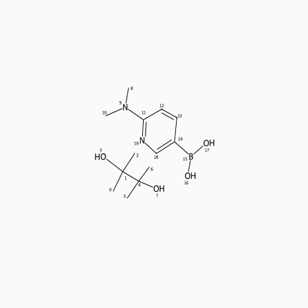 CC(C)(O)C(C)(C)O.CN(C)c1ccc(B(O)O)cn1